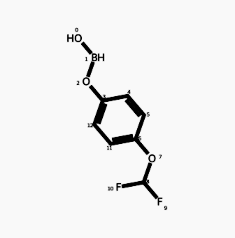 OBOc1ccc(OC(F)F)cc1